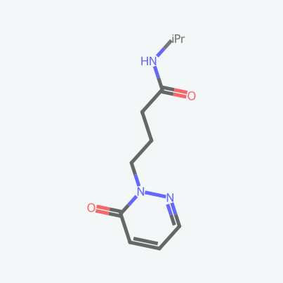 CC(C)NC(=O)CCCn1ncccc1=O